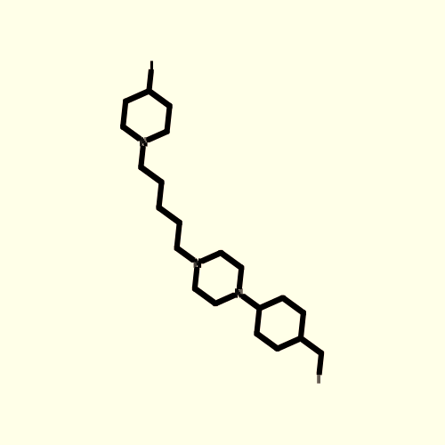 ICC1CCC(N2CCN(CCCCCN3CCC(I)CC3)CC2)CC1